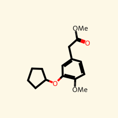 COC(=O)Cc1ccc(OC)c(OC2CCCC2)c1